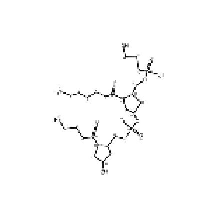 NCCCCCC(=O)N1C[C@H](OP(=O)(O)OCC2C[C@@H](O)CN2C(=O)CCCS)CC1COP(=O)(S)OCCO